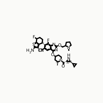 C[C@H]1CC(Oc2nc(OCC3CCCN3C)nc3c(F)c([C@H]4CCC(F)c5sc(N)c(C#N)c54)c(Cl)cc23)CCN1C(=O)[C@@H]1N[C@H]1C1CC1